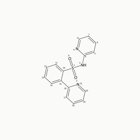 O=S(=O)(Nc1ccccn1)c1ccccc1-c1ccccn1